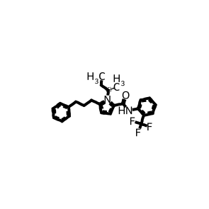 CC[C@H](C)n1c(CCCc2ccccc2)ccc1C(=O)Nc1ccccc1C(F)(F)F